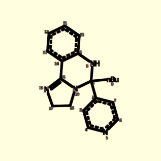 CCCCC1(c2ccncc2)Nc2ccccc2C2=NCCN21